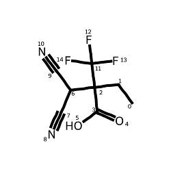 CCC(C(=O)O)(C(C#N)C#N)C(F)(F)F